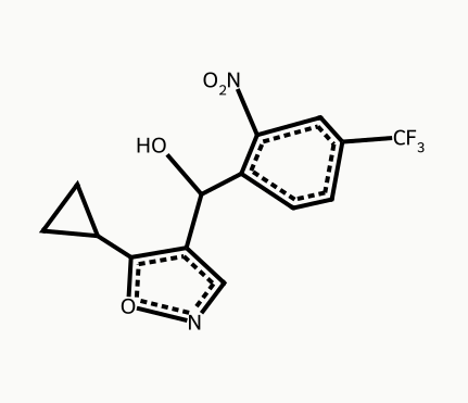 O=[N+]([O-])c1cc(C(F)(F)F)ccc1C(O)c1cnoc1C1CC1